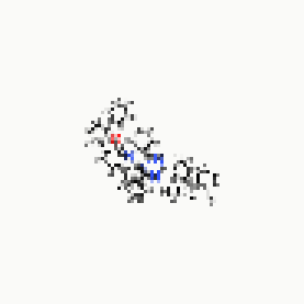 CC1(C)c2ccccc2-c2ccc(-c3nc(-c4ccccc4)nc(-c4ccccc4-n4c5ccccc5c5ccc6c7cccc(-c8ccccc8)c7oc6c54)n3)cc21